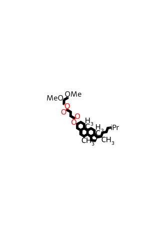 COCC(COC(=O)CCC(=O)O[C@H]1CC[C@@]2(C)C(=C[C@@H](C)C3C2CC[C@@]2(C)C3CC[C@@H]2[C@H](C)CCCC(C)C)C1)OC